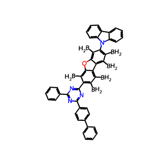 Bc1c(-c2nc(-c3ccccc3)nc(-c3ccc(-c4ccccc4)cc3)n2)c(B)c2oc3c(B)c(-n4c5ccccc5c5ccccc54)c(B)c(B)c3c2c1B